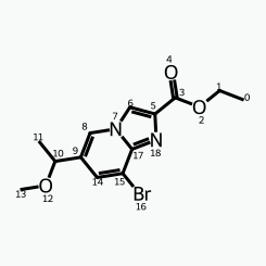 CCOC(=O)c1cn2cc(C(C)OC)cc(Br)c2n1